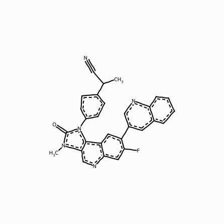 CC(C#N)c1ccc(-n2c(=O)n(C)c3cnc4cc(F)c(-c5cnc6ccccc6c5)cc4c32)cc1